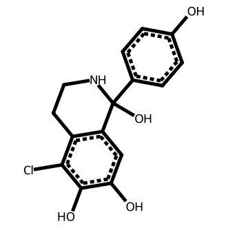 Oc1ccc(C2(O)NCCc3c2cc(O)c(O)c3Cl)cc1